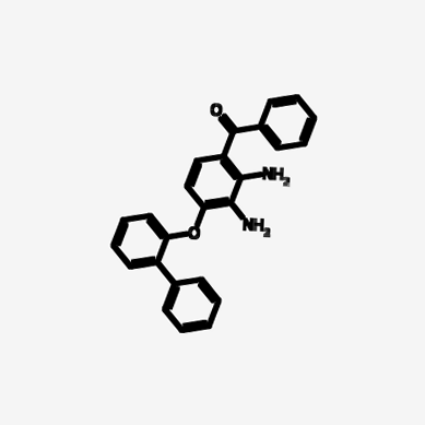 Nc1c(Oc2ccccc2-c2ccccc2)ccc(C(=O)c2ccccc2)c1N